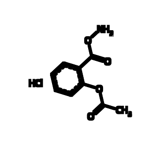 CC(=O)Oc1ccccc1C(=O)ON.Cl